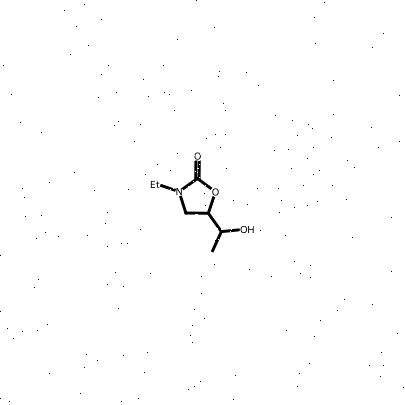 CCN1CC(C(C)O)OC1=O